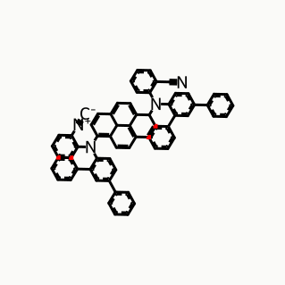 [C-]#[N+]c1ccccc1N(C1=C2C=CC3=C4C(=CC=C(C=C1)C24)C(N(c1ccccc1C#N)c1ccc(-c2ccccc2)cc1-c1ccccc1)C=C3)c1ccc(-c2ccccc2)cc1-c1ccccc1